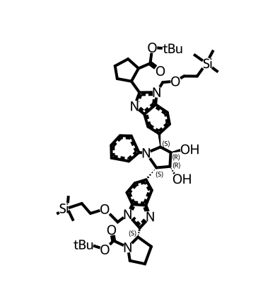 CC(C)(C)OC(=O)C1CCCC1c1nc2cc([C@H]3[C@@H](O)[C@H](O)[C@H](c4ccc5c(c4)nc([C@@H]4CCCN4C(=O)OC(C)(C)C)n5COCC[Si](C)(C)C)N3c3ccccc3)ccc2n1COCC[Si](C)(C)C